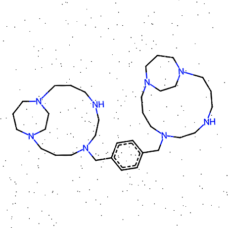 c1cc(CN2CCCN3CCCN(CCCNCC2)CC3)ccc1CN1CCCN2CCCN(CCCNCC1)CC2